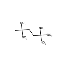 CC(CCC([N+](=O)[O-])([N+](=O)[O-])[N+](=O)[O-])([N+](=O)[O-])[N+](=O)[O-]